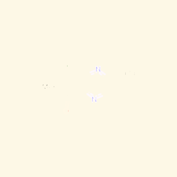 CCCCc1cnc(C(=O)OC)c(Cl)n1